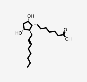 CCCCC/C=C/C[C@@H]1[C@@H](CCCCCCC(=O)O)[C@@H](O)C[C@H]1O